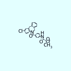 Cc1ccoc1C(=O)Nc1ccc(C(=O)N2Cc3ccccc3Cc3cc(Cl)ccc32)cc1